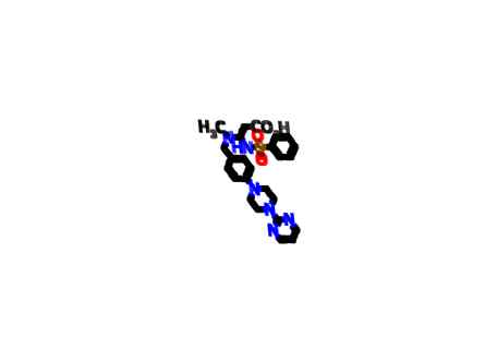 CN(Cc1ccc(N2CCN(c3ncccn3)CC2)cc1)C(CC(=O)O)NS(=O)(=O)c1ccccc1